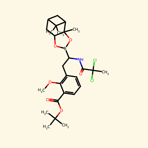 COc1c(CC(NC(=O)C(C)(Cl)Cl)B2OC3CC4CC(C4(C)C)C3(C)O2)cccc1C(=O)OC(C)(C)C